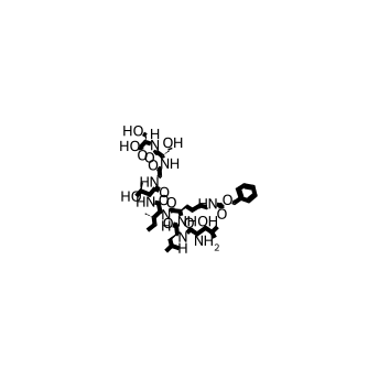 CC[C@H](C)[C@H](NC(=O)[C@@H](CCCCNC(=O)OCc1ccccc1)NC(=O)[C@H](CC(C)C)NC(=O)[C@@H](N)[C@H](O)C(C)C)C(=O)N[C@H](C(=O)NCC(=O)N[C@@H](CO)C(=O)N[C@@H](CO)C(=O)O)[C@H](C)O